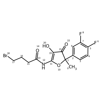 CC1(c2ccc(F)c(F)c2)OC(NC(=O)CCCBr)=C(O)C1=O